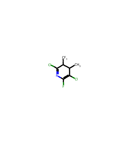 CC1C(Cl)=C(F)N=C(Cl)C1C(F)(F)F